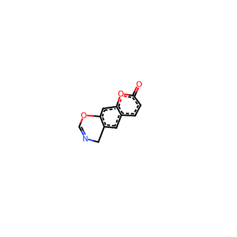 O=c1ccc2cc3c(cc2o1)OC=NC3